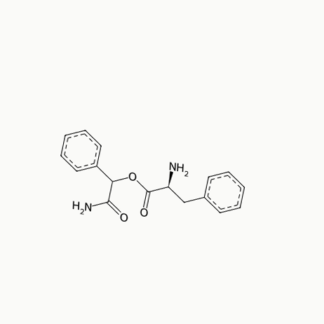 NC(=O)C(OC(=O)[C@@H](N)Cc1ccccc1)c1ccccc1